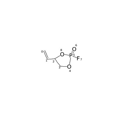 C=CC1COP(=O)(F)O1